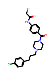 O=C(CCl)Nc1ccc(C(=O)N2CCN(CCCc3ccc(Cl)cc3)CC2)cc1